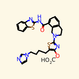 O=C(O)Oc1nc(N2CCc3cccc(C(=O)Nc4nc5ccccc5s4)c3C2)sc1CCCCn1ccnc1